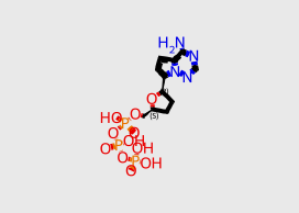 Nc1ncnn2c([C@H]3CC[C@@H](COP(=O)(O)OP(=O)(O)OP(=O)(O)O)O3)ccc12